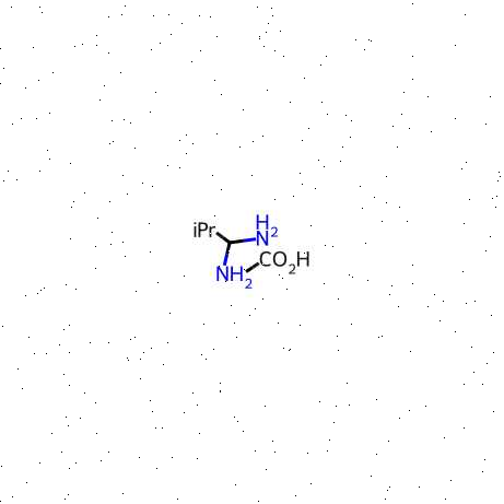 CC(=O)O.CC(C)C(N)N